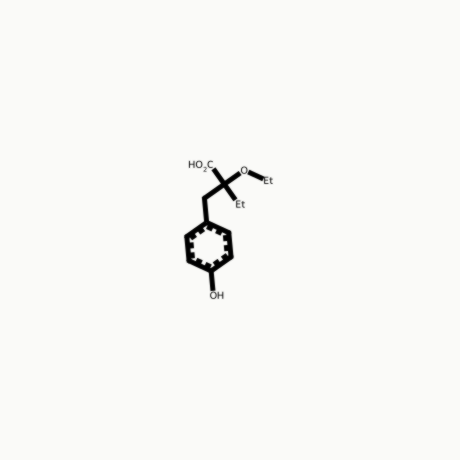 CCOC(CC)(Cc1ccc(O)cc1)C(=O)O